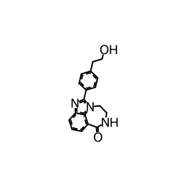 O=C1NCCn2c(-c3ccc(CCO)cc3)nc3cccc1c32